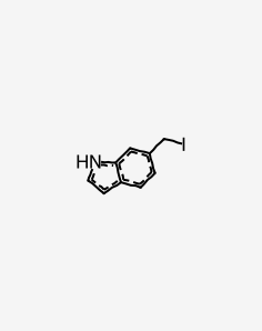 ICc1ccc2cc[nH]c2c1